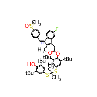 CC1=C(CC(=O)Oc2c(C(C)(C)C)cc(SC(C)(C)Sc3cc(C(C)(C)C)c(O)c(C(C)(C)C)c3)cc2C(C)(C)C)c2cc(F)ccc2/C1=C\c1ccc([S+](C)[O-])cc1